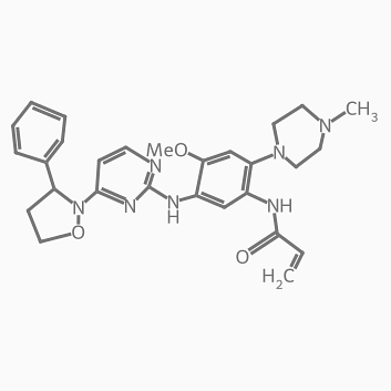 C=CC(=O)Nc1cc(Nc2nccc(N3OCCC3c3ccccc3)n2)c(OC)cc1N1CCN(C)CC1